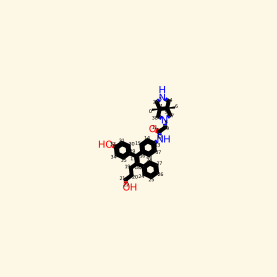 C[C@@]12CNC[C@]1(C)CN(CC(=O)Nc1ccc(/C(=C(/CCCO)c3ccccc3)c3ccc(O)cc3)cc1)C2